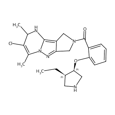 CC[C@@H]1CNC[C@@H]1Oc1ccccc1C(=O)N1Cc2nn3c(c2C1)NC(C)C(Cl)=C3C